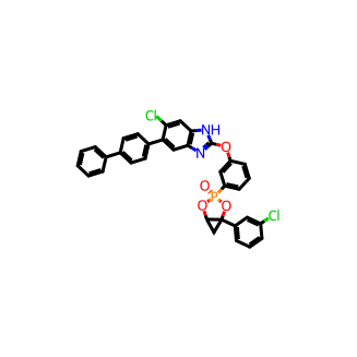 O=P1(c2cccc(Oc3nc4cc(-c5ccc(-c6ccccc6)cc5)c(Cl)cc4[nH]3)c2)OC2CC2(c2cccc(Cl)c2)O1